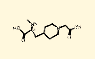 CN[C@@H](CC1CCN(CC(=O)O)CC1)C(=O)O